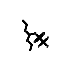 CCOC(OCC)OS(=O)(=O)C(F)(F)F